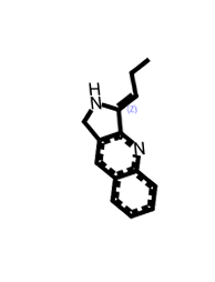 CC/C=C1\NCc2cc3ccccc3nc21